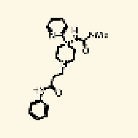 CNC(=O)N[N+]1(c2ccccn2)CCN(CCC(=O)Nc2ccccc2)CC1